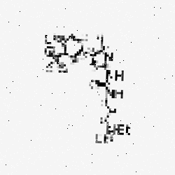 CCN(CC)CCCNC(=O)Nc1nc(C)c(-c2ccc(Cl)c(S(C)(=O)=O)c2)s1